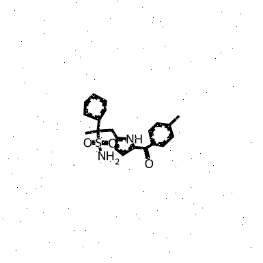 Cc1ccc(C(=O)c2ccc(CC(C)(c3ccccc3)S(N)(=O)=O)[nH]2)cc1